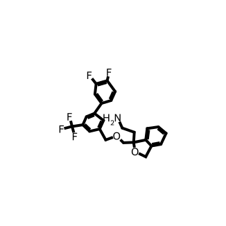 NCCC1(COCc2cc(-c3ccc(F)c(F)c3)cc(C(F)(F)F)c2)OCc2ccccc21